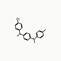 CCc1ccc(N(C)c2ccc(N(C)c3ccc(C)cc3)cc2)cc1